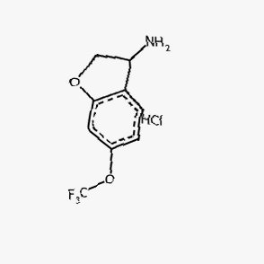 Cl.NC1COc2cc(OC(F)(F)F)ccc21